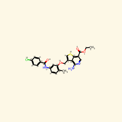 CCOC(=O)c1cnc(N)c2c(COc3cc(NC(=O)c4ccc(Cl)cc4)ccc3C)csc12